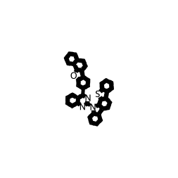 c1ccc2c(c1)ccc1c3ccc(-c4nc(-n5c6ccccc6c6ccc7c8ccccc8sc7c65)nc5ccccc45)cc3oc21